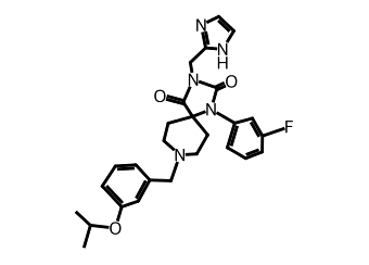 CC(C)Oc1cccc(CN2CCC3(CC2)C(=O)N(Cc2ncc[nH]2)C(=O)N3c2cccc(F)c2)c1